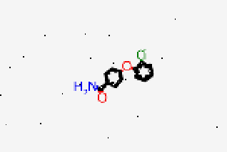 NC(=O)c1ccc(Oc2ccccc2Cl)cc1